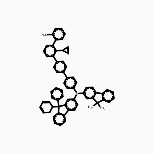 Cc1ccccc1-c1cccc(-c2ccc(-c3ccc(N(c4ccc5c(c4)C(C)(C)c4ccccc4-5)c4ccc5c(c4)C(c4ccccc4)(C4C=CC=CC4)c4ccccc4-5)cc3)cc2)c1C1CC1